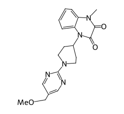 COCc1cnc(N2CCC(n3c(=O)c(=O)n(C)c4ccccc43)CC2)nc1